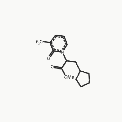 COC(=O)C(CC1CCCC1)n1cccc(C(F)(F)F)c1=O